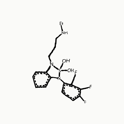 CCNCCCN1c2ccccc2N(c2ccc(F)c(F)c2F)S1(O)O